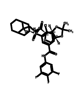 CC1(C)O[C@H]2[C@H](CO[C@@H]2C(=O)NC[C@]2(O)C3CCCC2C[C@@H](S(=O)(=O)c2cc(C(=O)Nc4cc(F)c(F)c(F)c4)ccc2Cl)C3)O1